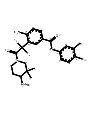 CC(=O)NC1CCN(C(=O)C(F)(F)c2cc(C(=O)Nc3ccc(F)c(C)c3)ccc2N)CC1(C)C